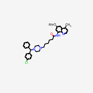 COc1cc(NC(=O)CCCCCN2CCN(C(c3ccccc3)c3ccc(Cl)cc3)CC2)c2nccc(C)c2c1